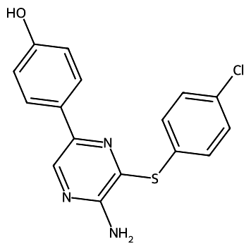 Nc1ncc(-c2ccc(O)cc2)nc1Sc1ccc(Cl)cc1